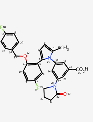 Cc1ccc(-c2cc(F)ccc2OCc2ccc(F)cc2)n1-c1cc(C(=O)O)cc(N2CCCC2=O)c1